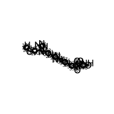 Nc1ncnc2c1c(-c1ccc(Oc3ccccc3)cc1)nn2C1CCN(c2cnc(N3CC4(CCN(c5ccc6c(c5)C(=O)N(C5CCC(=O)NC5=O)C6=O)CC4)C3)nc2)CC1